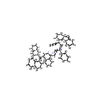 N=C(/N=C(\N=C\c1ccc(N2c3cc4ccccc4cc3-c3cccc4cccc2c34)c2ccccc12)c1ccccc1)c1cccc2oc3ccccc3c12